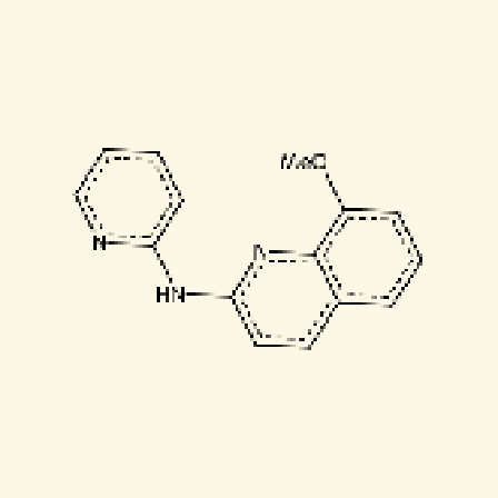 COc1cccc2ccc(Nc3ccccn3)nc12